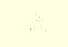 CC(=O)CC(=O)C(F)(OC(F)(F)C(F)(F)C(F)(F)F)C(F)(F)F.[Ag+]